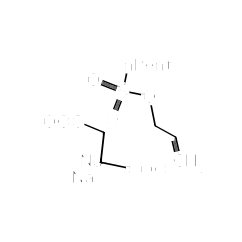 C=CCOS(=O)(=O)CCCCC.O=C([O-])CCC(=O)[O-].[Na+].[Na+]